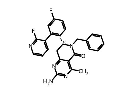 Cc1nc(N)nc2c1C(=O)N(Cc1ccccc1)[C@@H](c1ccc(F)cc1-c1cccnc1F)C2